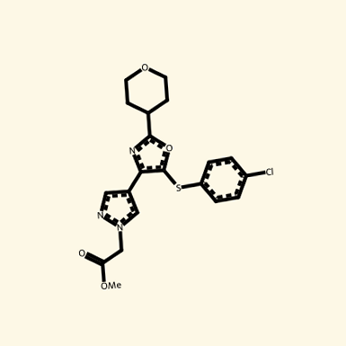 COC(=O)Cn1cc(-c2nc(C3CCOCC3)oc2Sc2ccc(Cl)cc2)cn1